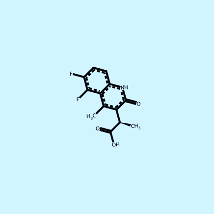 Cc1c([C@@H](C)C(=O)O)c(=O)[nH]c2ccc(F)c(F)c12